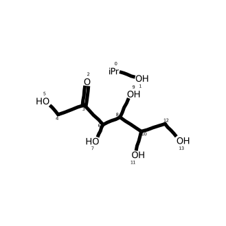 CC(C)O.O=C(CO)C(O)C(O)C(O)CO